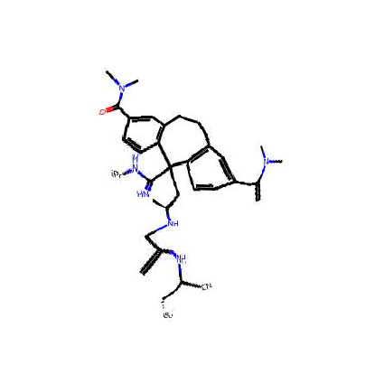 C=C(CN[C@@H](C)CC1(C(=N)NC(C)C)c2ccc(C(=C)N(C)C)cc2CCc2cc(C(=O)N(C)C)ccc21)NC(C#N)C[C@@H](C)CC